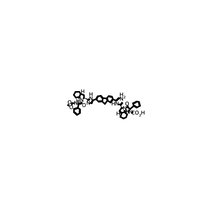 C=C(N/C(=C\N)c1ccc2c(c1)Cc1cc(-c3cnc([C@@H]4C[C@H]5CCCC[C@H]5N4C(=O)[C@H](NC4OCO4)c4ccccc4)[nH]3)ccc1-2)[C@@H]1C[C@H]2CCCC[C@H]2N1C(=O)[C@H](NC(=O)O)c1ccccc1